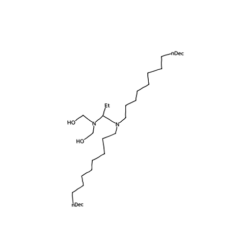 CCCCCCCCCCCCCCCCCCN(CCCCCCCCCCCCCCCCCC)C(CC)N(CO)CO